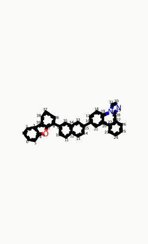 c1ccc2c(c1)oc1c(-c3ccc4ccc(-c5ccc6c(c5)c5ccccc5c5nccn65)cc4c3)cccc12